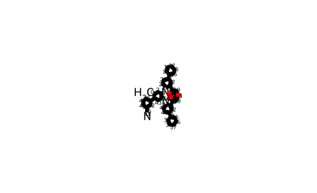 Cc1cc(-n2c3ccccc3c3cc(-c4ccccc4)ccc32)c(-n2c3ccccc3c3cc(-c4ccccc4)ccc32)cc1-c1cccc(C#N)c1